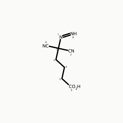 N#CC(C#N)(CCCC(=O)O)N=N